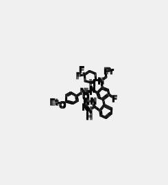 CCOc1ccc(NC(=O)Nc2cc(-c3ccccc3-c3nnn[nH]3)c(F)cc2N(CC(C)C)C2CCC(F)(F)CC2)cc1